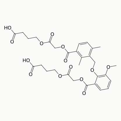 COc1cccc(C(=O)OCC(=O)OCCCC(=O)O)c1OCc1c(C)ccc(C(=O)OCC(=O)OCCCC(=O)O)c1C